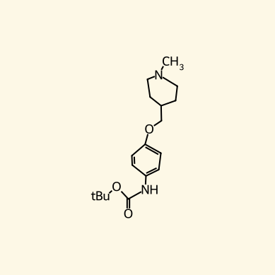 CN1CCC(COc2ccc(NC(=O)OC(C)(C)C)cc2)CC1